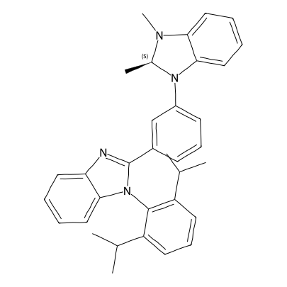 CC(C)c1cccc(C(C)C)c1-n1c(-c2cccc(N3c4ccccc4N(C)[C@@H]3C)c2)nc2ccccc21